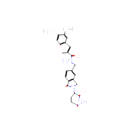 Cc1cc2c(cc1C)OCC(C(=O)NCc1ccc3c(c1)CN(C1CCC(=O)NC1=O)C3=O)=C2